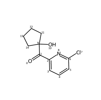 O=C(c1cccc(Cl)n1)C1(O)CCCC1